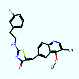 CCOc1c(C#N)cnc2ccc(/C=C3\SC(NCCc4cccc(F)c4)=NC3=O)cc12